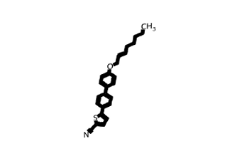 CCCCCC=CCOc1ccc(-c2ccc(-c3ccc(C#N)s3)cc2)cc1